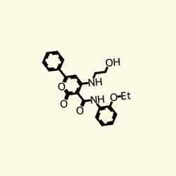 CCOc1ccccc1NC(=O)c1c(NCCO)cc(-c2ccccc2)oc1=O